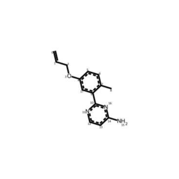 C=CCOc1ccc(C)c(-c2nccc(N)n2)c1